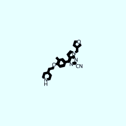 Cc1cc(-c2nc(C#N)nc3c2ccn3CC2CCOC2)ccc1OCCC1CCNCC1